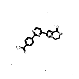 O=C1NCCn2nc(-c3ccnc(-c4ccc(C(=O)C(F)(F)F)cc4)n3)cc21